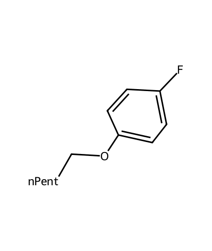 CCC[CH]CCOc1ccc(F)cc1